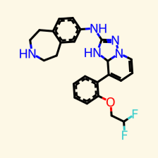 FC(F)COc1ccccc1C1=CC=CN2N=C(Nc3ccc4c(c3)CCNCC4)NC12